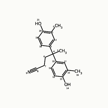 Cc1cc(C(C)(CCC#N)c2ccc(O)c(C)c2)ccc1O